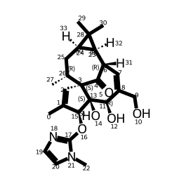 CC1=C[C@]23C(=O)[C@@H](C=C(CO)[C@@H](O)[C@]2(O)[C@H]1Oc1nccn1C)[C@H]1[C@@H](C[C@H]3C)C1(C)C